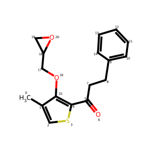 Cc1csc(C(=O)CCc2ccccc2)c1OCC1CO1